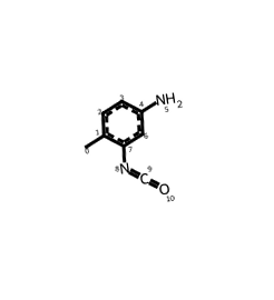 Cc1ccc(N)cc1N=C=O